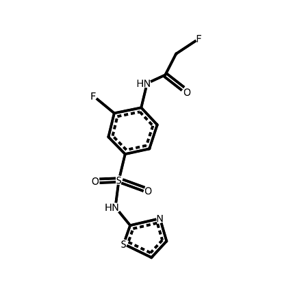 O=C(CF)Nc1ccc(S(=O)(=O)Nc2nccs2)cc1F